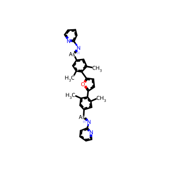 Cc1cc(/[As]=N/c2ccccn2)cc(C)c1-c1ccc(-c2c(C)cc(/[As]=N/c3ccccn3)cc2C)o1